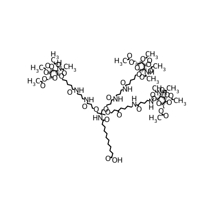 CC(=O)N[C@H]1[C@H](OCCCCC(=O)NCCCNC(=O)CCOCC(COCCC(=O)CCCCNC(=O)CCCNO[C@H]2O[C@H](COC(C)=O)[C@H](OC(C)=O)[C@H](OC(C)=O)[C@H]2NC(C)=O)(COCCC(=O)NCCCNC(=O)CCCCO[C@@H]2O[C@H](COC(C)=O)[C@H](OC(C)=O)[C@H](OC(C)=O)[C@H]2NC(C)=O)NC(=O)CCCCCCCCCCC(=O)O)O[C@H](COC(C)=O)[C@H](OC(C)=O)[C@@H]1OC(C)=O